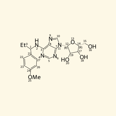 CCC(Nc1ncnc2c1ncn2[C@@H]1O[C@H](CO)C(O)C1O)c1ccc(OC)cc1